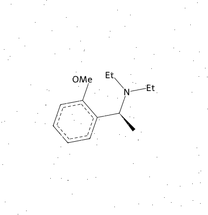 CCN(CC)[C@@H](C)c1ccccc1OC